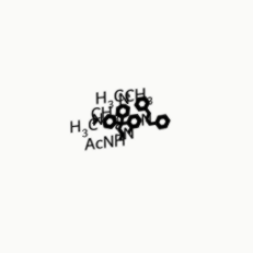 CC(=O)NC1=Nc2cc(N(Cc3ccccc3)Cc3ccccc3)ccc2C(c2ccc(N(C)C)cc2)(c2ccc(N(C)C)cc2)S1